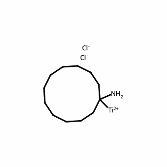 N[C]1([Ti+2])CCCCCCCCCCC1.[Cl-].[Cl-]